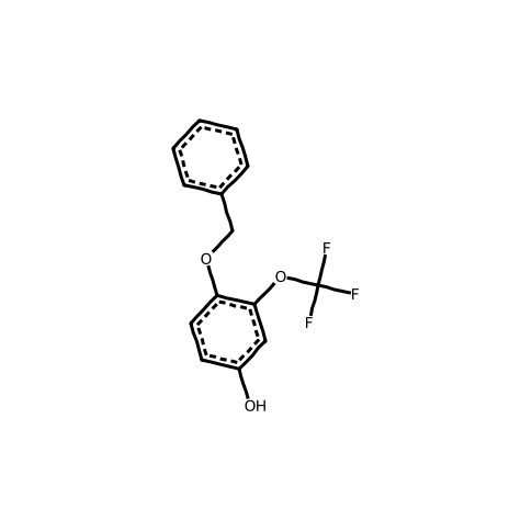 Oc1ccc(OCc2ccccc2)c(OC(F)(F)F)c1